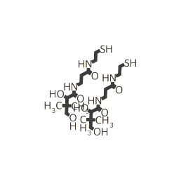 CC(C)(CO)C(O)C(=O)NCCC(=O)NCCS.CC(C)(CO)C(O)C(=O)NCCC(=O)NCCS